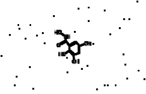 O=C(NO)c1cc(O)cc(O)c1O